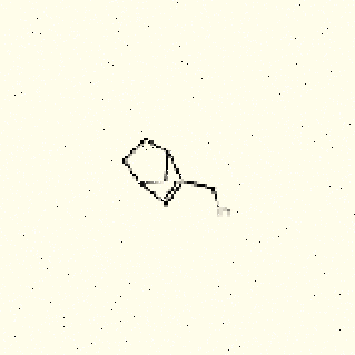 CC(C)[CH]C1=CC2CCC1C2